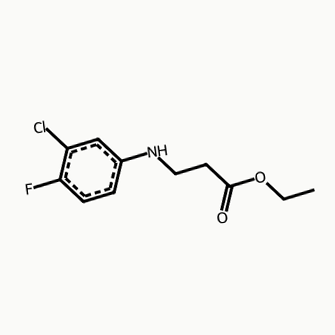 CCOC(=O)CCNc1ccc(F)c(Cl)c1